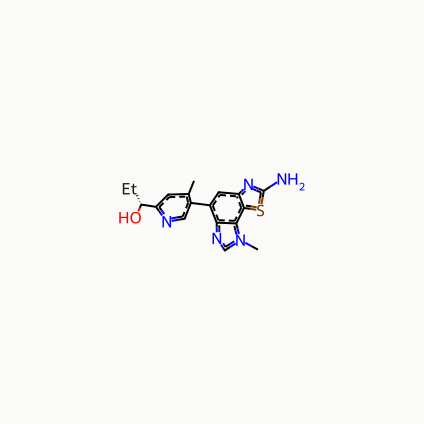 CC[C@@H](O)c1cc(C)c(-c2cc3nc(N)sc3c3c2ncn3C)cn1